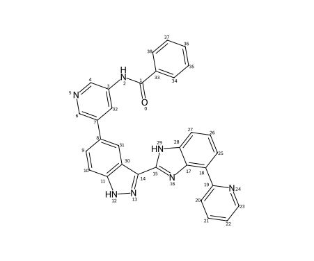 O=C(Nc1cncc(-c2ccc3[nH]nc(-c4nc5c(-c6ccccn6)cccc5[nH]4)c3c2)c1)c1ccccc1